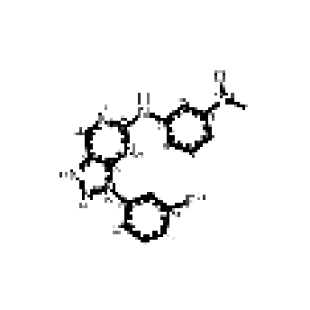 C[S+]([O-])c1cccc(Nc2ncc3nnn(-c4cccc(F)c4)c3n2)c1